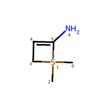 CS1(C)CC=C1N